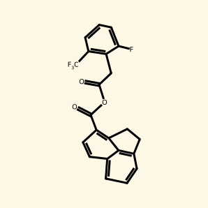 O=C(Cc1c(F)cccc1C(F)(F)F)OC(=O)c1ccc2cccc3c2c1CC3